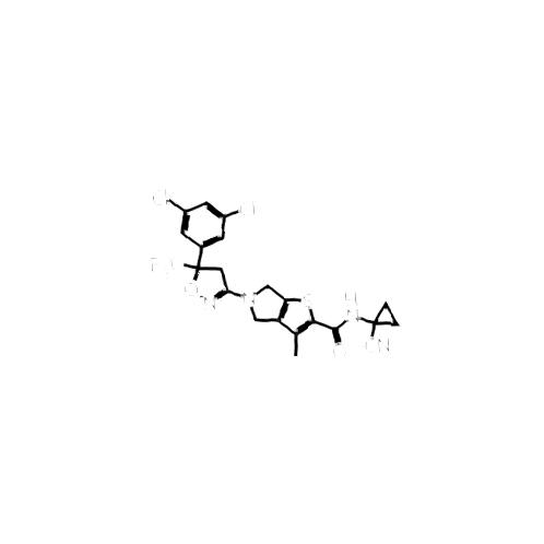 Cc1c(C(=O)NC2(C#N)CC2)sc2c1CN(C1=NOC(c3cc(Cl)cc(Cl)c3)(C(F)(F)F)C1)C2